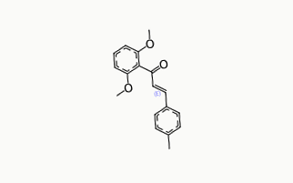 COc1cccc(OC)c1C(=O)/C=C/c1ccc(C)cc1